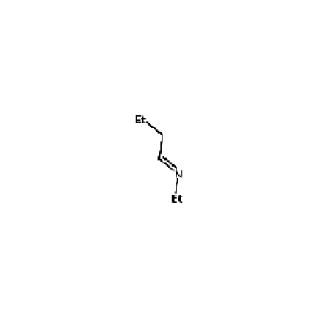 CCCC=NCC